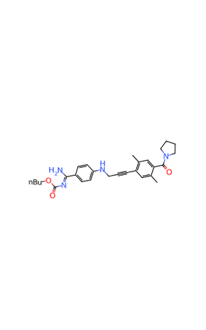 CCCCOC(=O)N=C(N)c1ccc(NCC#Cc2cc(C)c(C(=O)N3CCCC3)cc2C)cc1